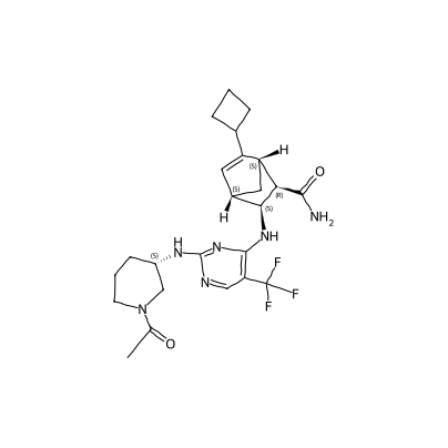 CC(=O)N1CCC[C@H](Nc2ncc(C(F)(F)F)c(N[C@@H]3[C@H](C(N)=O)[C@@H]4C[C@H]3C=C4C3CCC3)n2)C1